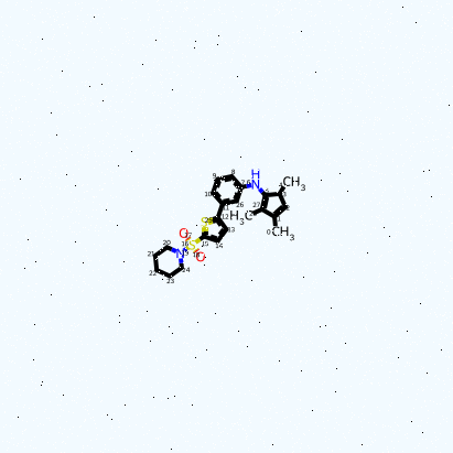 CC1=CC(C)C(Nc2cccc(-c3ccc(S(=O)(=O)N4CCCCC4)s3)c2)=C1C